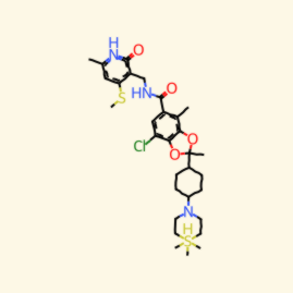 CSc1cc(C)[nH]c(=O)c1CNC(=O)c1cc(Cl)c2c(c1C)OC(C)(C1CCC(N3CC[SH](C)(C)(C)CC3)CC1)O2